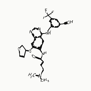 C#Cc1cc(Nc2ncnc3cc(OC4CCOC4)c(NC(=O)/C=C/CN(C)C)cc23)cc(C(F)(F)F)c1